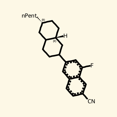 CCCCC[C@@H]1CC[C@@H]2CC(c3cc(F)c4cc(C#N)ccc4c3)CCC2C1